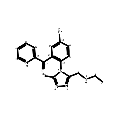 CCNCc1nnc(C)n1-c1ccc(Br)cc1C(=O)c1ccccn1